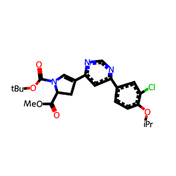 COC(=O)C1CC(c2cc(-c3ccc(OC(C)C)c(Cl)c3)ncn2)=CN1C(=O)OC(C)(C)C